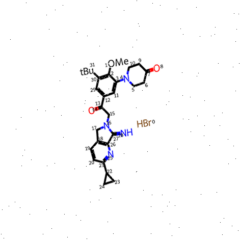 Br.COc1c(N2CCC(=O)CC2)cc(C(=O)CN2Cc3ccc(C4CC4)nc3C2=N)cc1C(C)(C)C